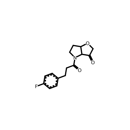 O=C1COC2CCN(C(=O)CCc3ccc(F)cc3)C12